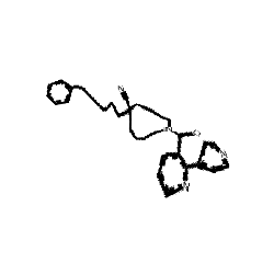 N#CC1(CCCCc2ccccc2)CCN(C(=O)c2cccnc2-c2ccncc2)CC1